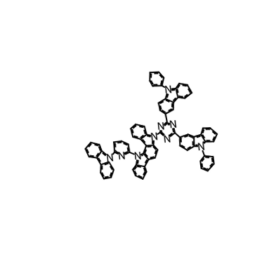 c1ccc(-n2c3ccccc3c3cc(-c4nc(-c5ccc6c(c5)c5ccccc5n6-c5ccccc5)nc(-n5c6ccccc6c6c5ccc5c7ccccc7n(-c7cccc(-n8c9ccccc9c9ccccc98)n7)c56)n4)ccc32)cc1